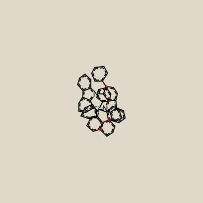 c1ccc(-c2ccccc2-n2c3ccccc3c3ccc(-c4ccccc4)c(-n4c5ccccc5c5cccc([Si](c6ccccc6)(c6ccccc6)c6ccccc6)c54)c32)cc1